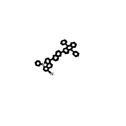 N#Cc1ccc2c3c1ccc1c(-c4ccc5cc(-c6ccc7c(-c8ccccc8)c8ccccc8c(-c8ccccc8)c7c6)ccc5c4)ccc(c13)n2-c1ccccc1